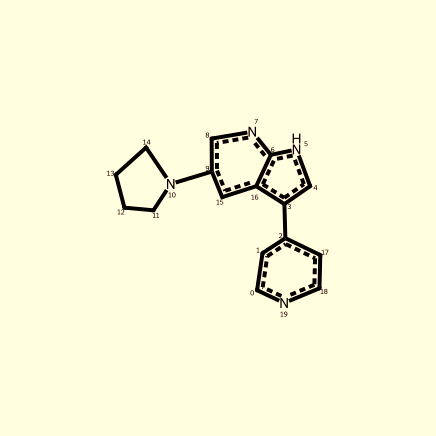 c1cc(-c2c[nH]c3ncc(N4CCCC4)cc23)ccn1